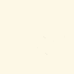 CCCCCC(NC(C)=O)C(=O)NC